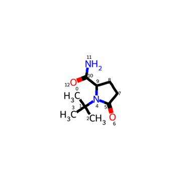 CC(C)(C)N1C(=O)CCC1C(N)=O